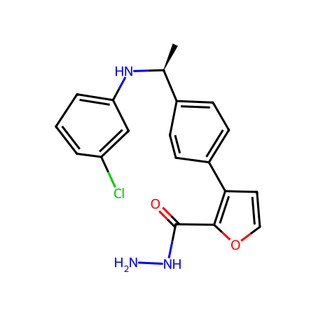 C[C@H](Nc1cccc(Cl)c1)c1ccc(-c2ccoc2C(=O)NN)cc1